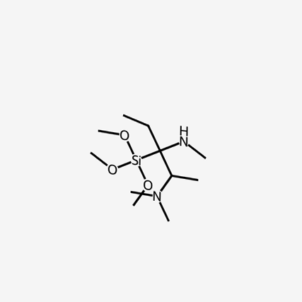 CCC(NC)(C(C)N(C)C)[Si](OC)(OC)OC